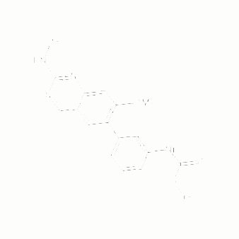 COc1cc2nc(NC(C)C)ncc2cc1-c1cccc(NC(=O)OC(C)(C)C)c1